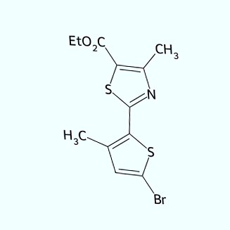 CCOC(=O)c1sc(-c2sc(Br)cc2C)nc1C